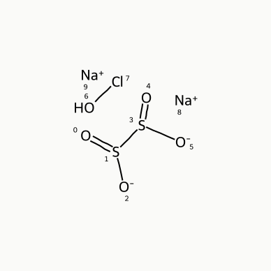 O=S([O-])S(=O)[O-].OCl.[Na+].[Na+]